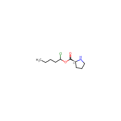 CCCCC(Cl)OC(=O)[C@@H]1CCCN1